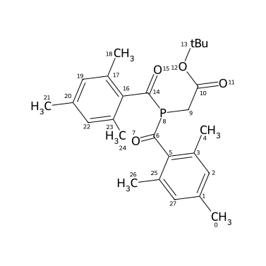 Cc1cc(C)c(C(=O)P(CC(=O)OC(C)(C)C)C(=O)c2c(C)cc(C)cc2C)c(C)c1